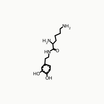 NCCCCC(N)C(=O)NCCc1ccc(O)c(O)c1